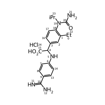 CCc1cc(C(Nc2ccc(C(=N)N)cc2)C(=O)O)ccc1N(C(N)=O)C(C)C.Cl